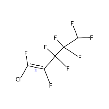 F/C(Cl)=C(/F)C(F)(F)C(F)(F)C(F)F